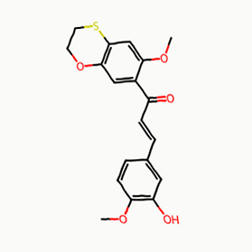 COc1ccc(/C=C/C(=O)c2cc3c(cc2OC)SCCO3)cc1O